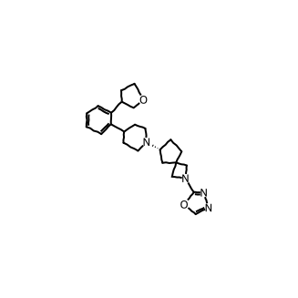 c1ccc(C2CCOC2)c(C2CCN([C@@H]3CCC4(C3)CN(c3nnco3)C4)CC2)c1